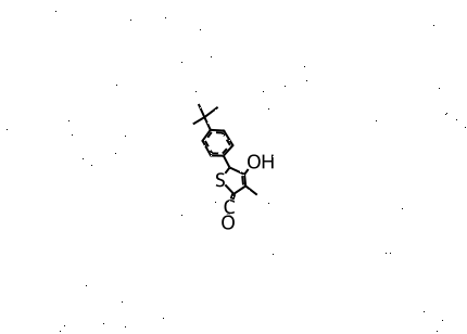 CC1=C(O)C(c2ccc(C(C)(C)C)cc2)SC1=C=O